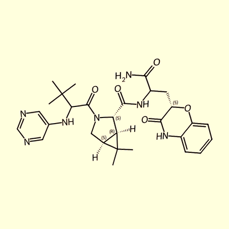 CC(C)(C)C(Nc1cncnc1)C(=O)N1C[C@H]2[C@@H]([C@H]1C(=O)NC(C[C@@H]1Oc3ccccc3NC1=O)C(N)=O)C2(C)C